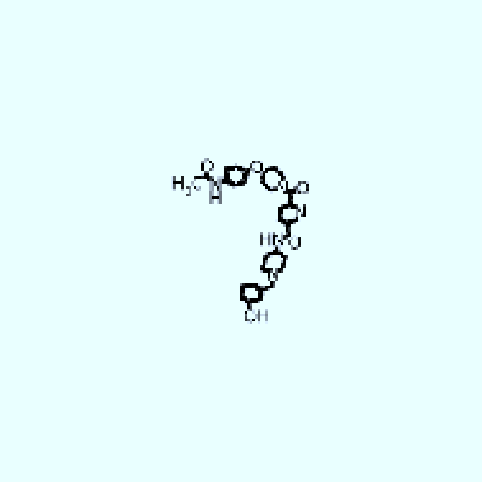 CC(=O)Nc1ccc(OC2CCN(C(=O)c3ccc(C(=O)NC4CCN(Cc5cccc(O)c5)CC4)cn3)CC2)cc1